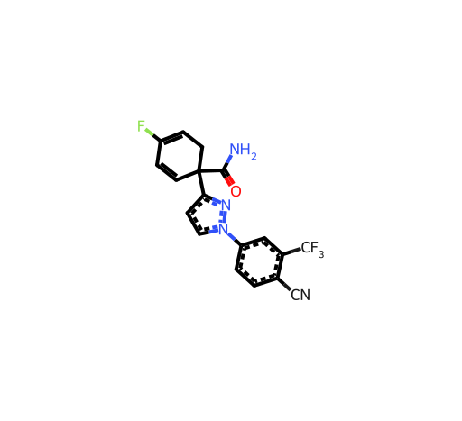 N#Cc1ccc(-n2ccc(C3(C(N)=O)C=CC(F)=CC3)n2)cc1C(F)(F)F